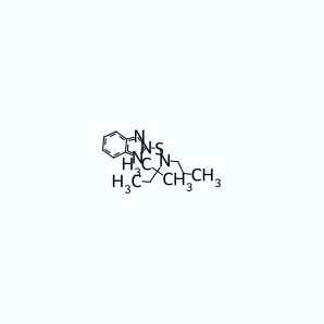 CCCN(Sn1nc2ccccc2n1)C(C)(C)CC